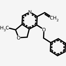 C=Cc1ncc2c(c1OCc1ccccc1)COC2C